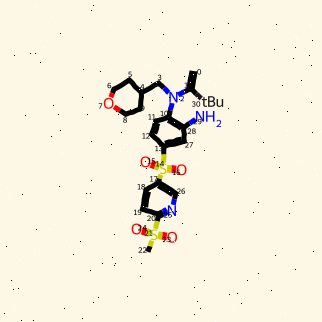 C=C(N(CC1CCOCC1)c1ccc(S(=O)(=O)c2ccc(S(C)(=O)=O)nc2)cc1N)C(C)(C)C